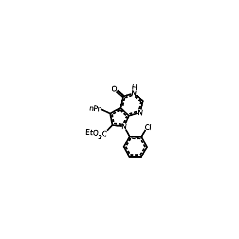 CCCc1c(C(=O)OCC)n(-c2ccccc2Cl)c2nc[nH]c(=O)c12